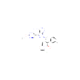 Cc1cccc(-c2c([C@H](C)n3nc(-c4cnc(OC(C)C)nc4)c4c(N)ncnc43)cc3scc(Cl)n3c2=O)c1